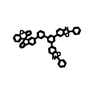 c1ccc(-c2nc3ccc(-c4cc(-c5cccc(-c6ccc7c(c6)C6(c8ccccc8Oc8ccccc86)c6ccccc6-7)c5)cc(-c5ccc6nc(-c7ccccc7)oc6c5)c4)cc3o2)cc1